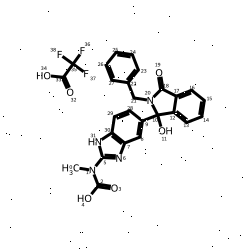 CN(C(=O)O)c1nc2cc(C3(O)c4ccccc4C(=O)N3Cc3ccccc3)ccc2[nH]1.O=C(O)C(F)(F)F